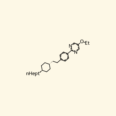 CCCCCCC[C@H]1CC[C@H](CCc2ccc(-c3ncc(OCC)cn3)cc2)CC1